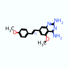 COc1ccc(/C=C/c2cc(OC)c3c(N)nc(N)nc3c2)cc1